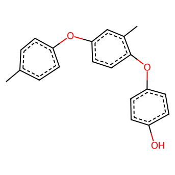 Cc1ccc(Oc2ccc(Oc3ccc(O)cc3)c(C)c2)cc1